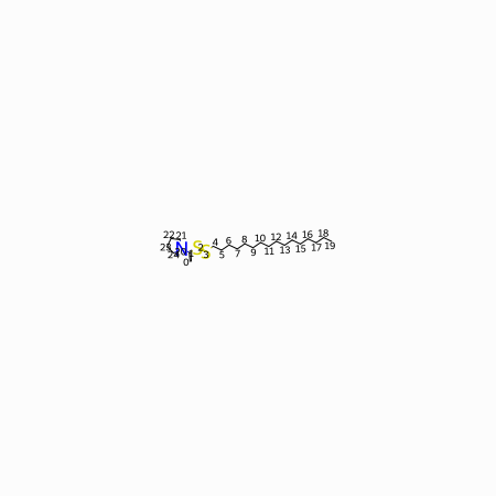 C=C(SSCCCCCCCCCCCCCCCC)N1CCCC1